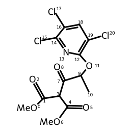 COC(=O)C(C(=O)OC)C(=O)C(C)Oc1nc(Cl)c(Cl)cc1Cl